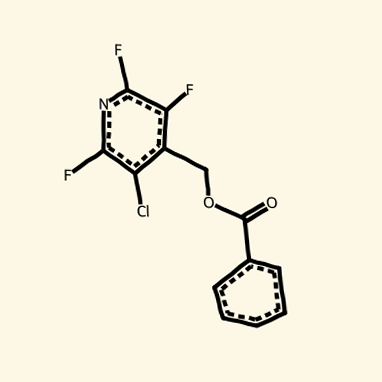 O=C(OCc1c(F)c(F)nc(F)c1Cl)c1ccccc1